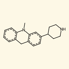 CN1c2ccccc2Cc2ccc(C3CCNCC3)cc21